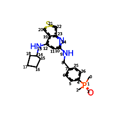 CP(C)(=O)c1ccc(CNc2cc(NC3CCCC3)c3cscc3n2)cc1